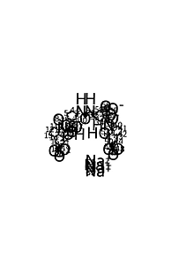 O=C(Nc1ccc(C(=O)Nc2cccc3cc(S(=O)(=O)[O-])cc(O)c23)c(S(=O)(=O)[O-])c1)Nc1ccc(C(=O)Nc2cccc3cc(S(=O)(=O)[O-])cc(O)c23)c(S(=O)(=O)[O-])c1.[Na+].[Na+].[Na+].[Na+]